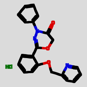 Cl.O=C1COC(c2ccccc2OCc2ccccn2)=NN1c1ccccc1